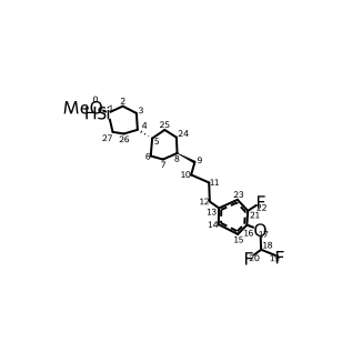 CO[SiH]1CCC([C@H]2CC[C@H](CCCCc3ccc(OC(F)F)c(F)c3)CC2)CC1